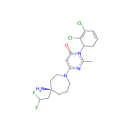 Cc1nc(N2CCC[C@](N)(CC(F)F)CC2)cc(=O)n1C1CC=CC(Cl)=C1Cl